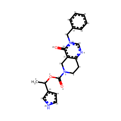 CC(OC(=O)N1CCc2ncn(Cc3ccccc3)c(=O)c2C1)c1cc[nH]c1